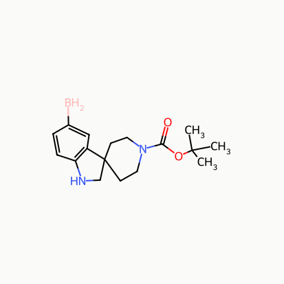 Bc1ccc2c(c1)C1(CCN(C(=O)OC(C)(C)C)CC1)CN2